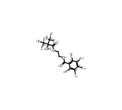 O=C(OCCOC(=O)C(O)(C(F)(F)F)C(F)(F)F)c1c(F)c(F)c(F)c(F)c1F